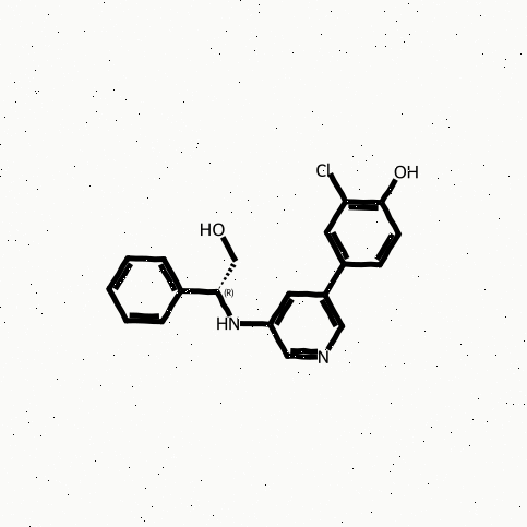 OC[C@H](Nc1cncc(-c2ccc(O)c(Cl)c2)c1)c1ccccc1